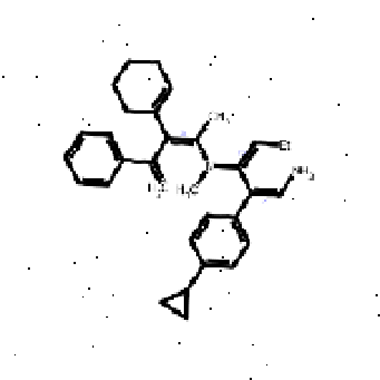 C=C(/C(C1=CCCCC1)=C(/C)N(C)C(=C/CC)/C(=C\N)c1ccc(C2CC2)cc1)c1ccccc1